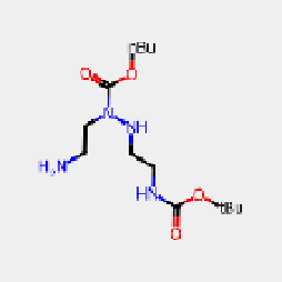 CCCCOC(=O)N(CCN)NCCNC(=O)OC(C)(C)C